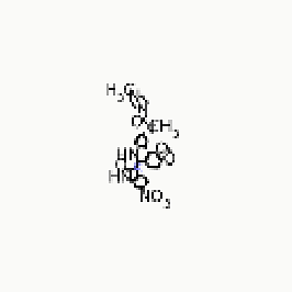 CN1CCN(CC(=O)N(C)c2ccc(N/C(=C3\C(=O)Nc4cc([N+](=O)[O-])ccc43)c3ccc4c(c3)OCO4)cc2)CC1